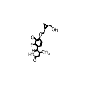 CC1CC(=O)NN=C1c1ccc(OC[C@H]2C[C@H]2CO)c(Cl)c1F